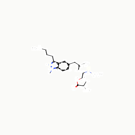 COCCCc1nn(C)c2ccc(C[C@H](C[C@H](NC(=O)O)[C@@H]3C[C@@H](C(C)C)C(=O)O3)C(C)C)cc12